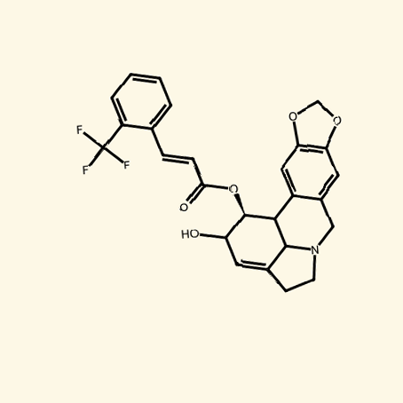 O=C(/C=C/c1ccccc1C(F)(F)F)O[C@@H]1C(O)C=C2CCN3Cc4cc5c(cc4C1C23)OCO5